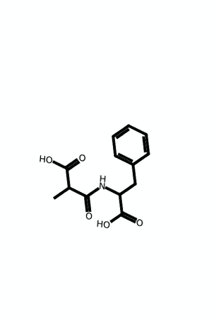 CC(C(=O)O)C(=O)NC(Cc1ccccc1)C(=O)O